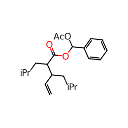 C=CC(CC(C)C)C(CC(C)C)C(=O)OC(OC(C)=O)c1ccccc1